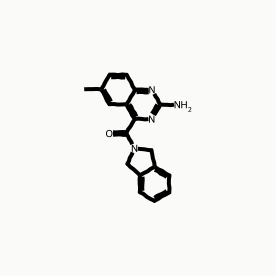 Cc1ccc2nc(N)nc(C(=O)N3Cc4ccccc4C3)c2c1